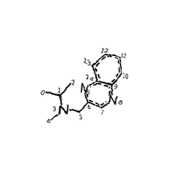 CC(C)N(C)Cc1cnc2ccccc2n1